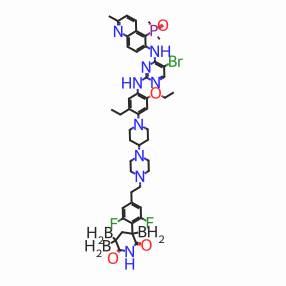 BC1(B)CC(B)(c2c(F)cc(CCN3CCN(C4CCN(c5cc(OCC)c(Nc6ncc(Br)c(Nc7ccc8nc(C)ccc8c7P(C)(C)=O)n6)cc5CC)CC4)CC3)cc2F)C(=O)NC1=O